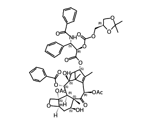 CC(=O)O[C@H]1C(=O)[C@@]2(C)[C@H]([C@H](OC(=O)c3ccccc3)[C@]3(O)C[C@H](OC(=O)[C@H](OC(=O)OC[C@H]4COC(C)(C)O4)[C@@H](NC(=O)c4ccccc4)c4ccccc4)C(C)=C1C3(C)C)[C@]1(OC(C)=O)CO[C@@H]1C[C@@H]2O